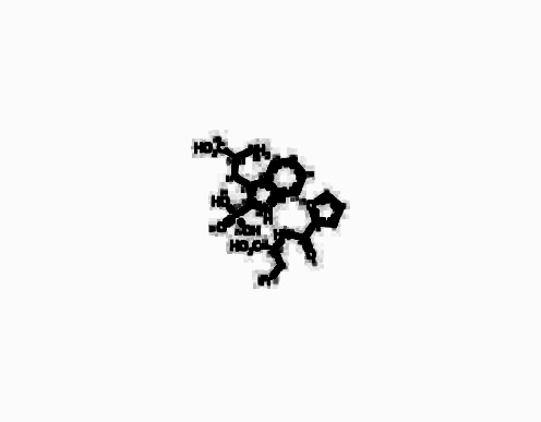 CC(C)C[C@H](NC(=O)c1ccco1)C(=O)O.N[C@@H](Cc1c(P(=O)(O)O)[nH]c2ccccc12)C(=O)O